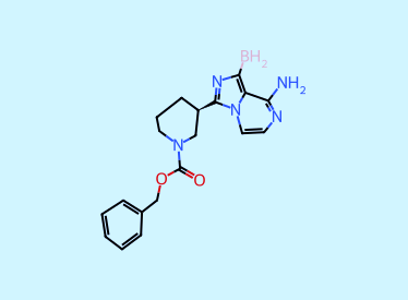 Bc1nc([C@@H]2CCCN(C(=O)OCc3ccccc3)C2)n2ccnc(N)c12